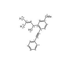 COc1ccc(C#Cc2ccccc2)c(C(O)C=C(C)C)c1